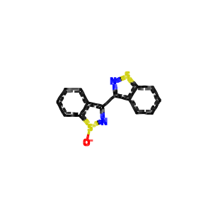 [O-][s+]1nc(-c2nsc3ccccc23)c2ccccc21